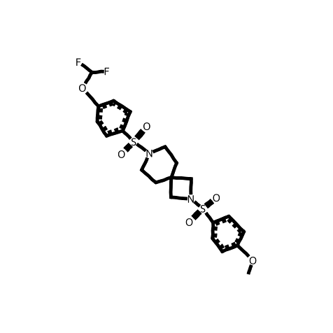 COc1ccc(S(=O)(=O)N2CC3(CCN(S(=O)(=O)c4ccc(OC(F)F)cc4)CC3)C2)cc1